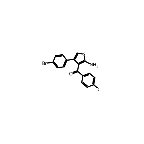 Nc1scc(-c2ccc(Br)cc2)c1C(=O)c1ccc(Cl)cc1